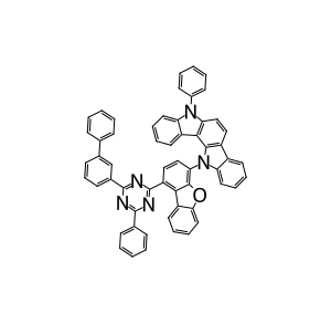 c1ccc(-c2cccc(-c3nc(-c4ccccc4)nc(-c4ccc(-n5c6ccccc6c6ccc7c(c8ccccc8n7-c7ccccc7)c65)c5oc6ccccc6c45)n3)c2)cc1